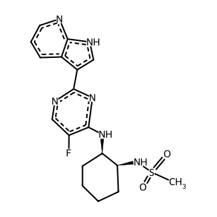 CS(=O)(=O)N[C@H]1CCCC[C@H]1Nc1nc(-c2c[nH]c3ncccc23)ncc1F